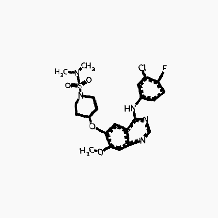 COc1cc2ncnc(Nc3ccc(F)c(Cl)c3)c2cc1OC1CCN(S(=O)(=O)N(C)C)CC1